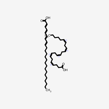 CCCCC/C=C\C/C=C\C/C=C\C/C=C\C/C=C\CCC(=O)O.CCCCCCCCCCCCCCCC=CC=CC=CC=CC(=O)O